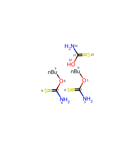 CCCCOC(N)=S.CCCCOC(N)=S.NC(O)=S